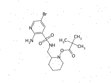 CC(C)(C)C(=O)ON1CCCCC1CNS(=O)(=O)c1cc(Br)cnc1N